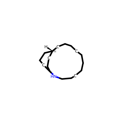 C1CCCCC[C@H]2CCC[C](CC2)NCCCC1